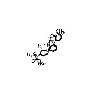 CN1C(=O)CCC(n2c(=O)n(C)c3c(N4CCC(N(C)C(=O)OC(C)(C)C)CC4)cccc32)C1=O